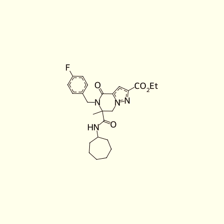 CCOC(=O)c1cc2n(n1)CC(C)(C(=O)NC1CCCCCC1)N(Cc1ccc(F)cc1)C2=O